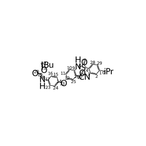 CC(C)c1ccc(S(=O)(=O)Nc2ccc(Oc3ccc(NC(=O)OC(C)(C)C)cc3)cc2C#N)cc1